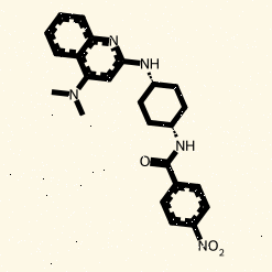 CN(C)c1cc(N[C@H]2CC[C@@H](NC(=O)c3ccc([N+](=O)[O-])cc3)CC2)nc2ccccc12